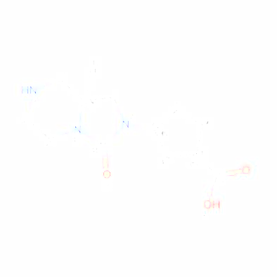 O=C(O)[C@H]1CC[C@@H](N2C[C@@H]3CNCCN3C2=O)C1